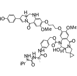 COc1cc2c(cc1OCCCOc1cc3c(cc1OC)C(=O)N1CC4(CC4)C[C@H]1C(O)N3C(=O)OCc1ccc(NC(=O)[C@H](C)NC(=O)[C@@H](N)C(C)C)cc1)NC[C@@H]1CC(c3ccc(O)cc3)=CN1C2=O